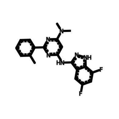 Cc1ccccc1-c1nc(Nc2n[nH]c3c(F)cc(F)cc23)cc(N(C)C)n1